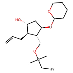 C=CC[C@@H]1[C@@H](CO[Si](C)(C)CC(C)C)[C@H](OC2CCCCO2)C[C@H]1O